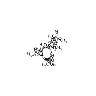 CC[C@H]1O[C@]2(CC[C@@H]1C)C[C@@H]1C[C@@H](C/C=C(\C)[C@@H](O[C@H]3C[C@H](OC)[C@@H](O[C@H]4C[C@H](OC)[C@@H](O)[C@H](C)O4)[C@H](C)O3)[C@@H](C)CCC[C@@H]3CO[C@@H]4[C@H](O)[C@H](C)C[C@@H](C(=O)O1)[C@]34O)O2